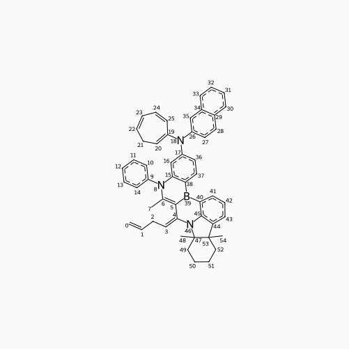 C=CC/C=C1\C2=C(C)N(c3ccccc3)c3cc(N(C4=CCC=CC=C4)c4ccc5ccccc5c4)ccc3B2c2cccc3c2N1C1(C)CCCCC31C